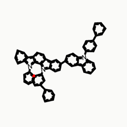 c1ccc(-c2ccc(-n3c4ccccc4c4cc(-c5ccc6c(c5)c5ccc7c8ccccc8n(-c8ccccc8)c7c5n6-c5cccc(-c6ccccc6)c5)ccc43)cc2)cc1